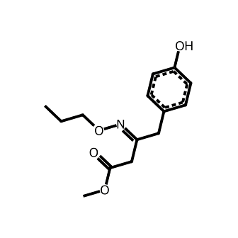 CCCON=C(CC(=O)OC)Cc1ccc(O)cc1